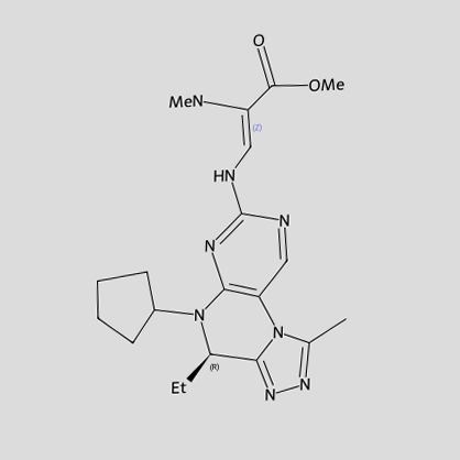 CC[C@@H]1c2nnc(C)n2-c2cnc(N/C=C(\NC)C(=O)OC)nc2N1C1CCCC1